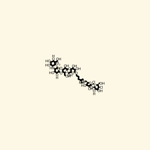 CC1OC(OC2C(CO)OC(OC3C(CO)OC(OCCCc4cn(C[C@H]5O[C@@](CCl)(O[C@H]6O[C@H](CO)[C@H](Cl)[C@H](O)[C@H]6O)[C@@H](O)[C@@H]5O)nn4)C(O)C3O)C(O)C2O)C(O)C(O)C1N[C@H]1C=C(CO)[C@@H](O)[C@H](O)[C@H]1O